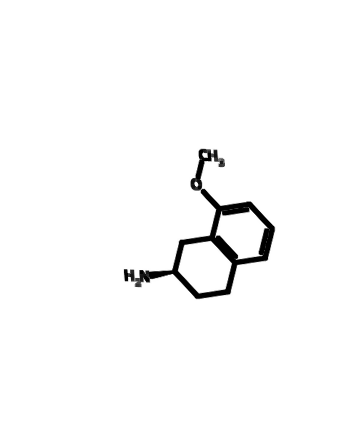 COc1cccc2c1C[C@H](N)CC2